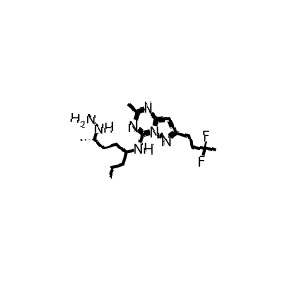 CCCC(CC[C@H](C)NN)Nc1nc(C)nc2cc(CCC(C)(F)F)nn12